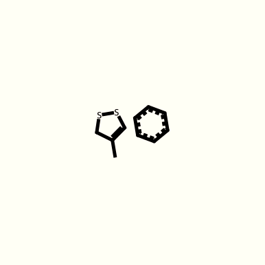 CC1=CSSC1.c1ccccc1